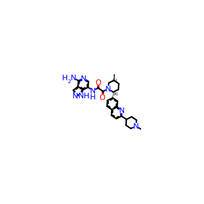 C[C@H]1CC[C@H](c2ccc3ccc(C4CCN(C)CC4)nc3c2)N(C(=O)C(=O)Nc2cnc(N)c3cn[nH]c23)C1